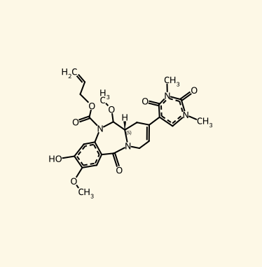 C=CCOC(=O)N1c2cc(O)c(OC)cc2C(=O)N2CC=C(c3cn(C)c(=O)n(C)c3=O)C[C@H]2C1OC